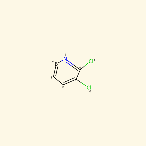 Clc1ccbnc1Cl